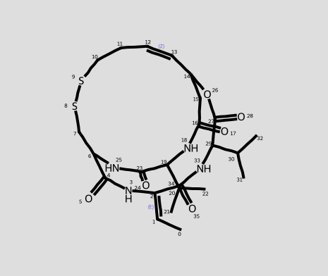 C/C=C1/NC(=O)C2CSSCC/C=C\C(CC(=O)NC(C(C)C)C(=O)N2)OC(=O)C(C(C)C)NC1=O